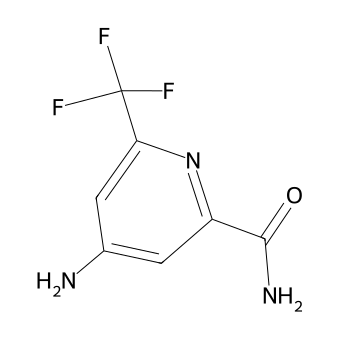 NC(=O)c1cc(N)cc(C(F)(F)F)n1